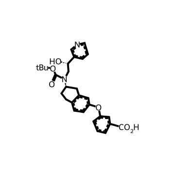 CC(C)(C)OC(=O)N(C[C@H](O)c1cccnc1)[C@H]1CCc2ccc(Oc3cccc(C(=O)O)c3)cc2C1